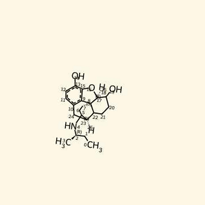 CC[C@@H](C)NC1CC[C@]23c4c5ccc(O)c4O[C@H]2C(O)CCC3[C@H]1C5